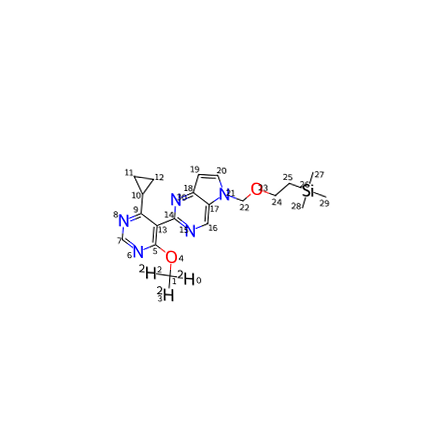 [2H]C([2H])([2H])Oc1ncnc(C2CC2)c1-c1ncc2c(ccn2COCC[Si](C)(C)C)n1